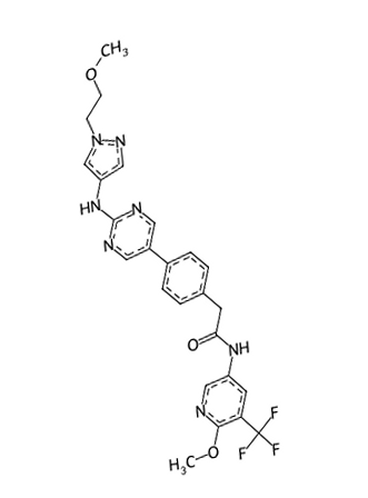 COCCn1cc(Nc2ncc(-c3ccc(CC(=O)Nc4cnc(OC)c(C(F)(F)F)c4)cc3)cn2)cn1